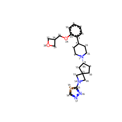 c1ccc(C2CCN([C@@H]3CCC4(C3)CN(c3nncs3)C4)CC2)c(OCC2COC2)c1